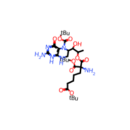 CC(OC(=O)C(N)(CCCCC(=O)OC(C)(C)C)C(=O)OC(C)(C)C)C(O)C1CNc2[nH]c(N)nc(=O)c2N1C(=O)OC(C)(C)C